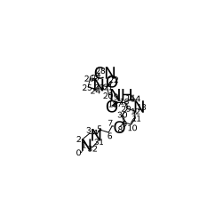 CN1CCN(CCCOc2ccc3nccc(C(=O)NCC(=O)N4CCC[C@H]4C#N)c3c2)CC1